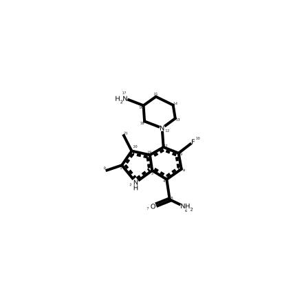 Cc1[nH]c2c(C(N)=O)cc(F)c(N3CCCC(N)C3)c2c1C